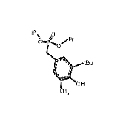 Cc1cc(CP(=O)(OC(C)C)OC(C)C)cc(C(C)(C)C)c1O